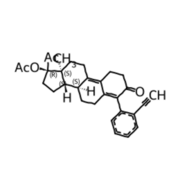 C#Cc1ccccc1C1=C2CC[C@@H]3C(=C2CCC1=O)CC[C@@]1(C)[C@H]3CC[C@]1(OC(C)=O)C(C)=O